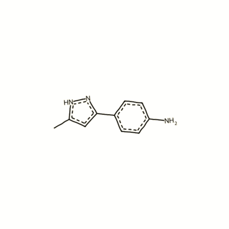 Cc1cc(-c2ccc(N)cc2)n[nH]1